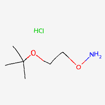 CC(C)(C)OCCON.Cl